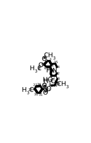 COc1cc2c(cc1OC)[C@H]1C[C@@H](O)[C@H](CC(C)(C)CCOS(=O)(=O)c3ccc(C)cc3)CN1CC2